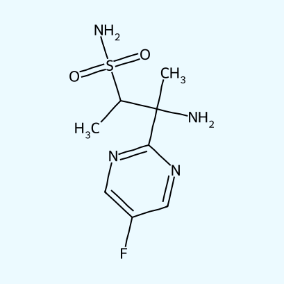 CC(C(C)(N)c1ncc(F)cn1)S(N)(=O)=O